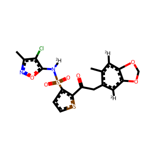 [2H]c1c(C)c(CC(=O)c2sccc2S(=O)(=O)N([2H])c2onc(C)c2Cl)c([2H])c2c1OCO2